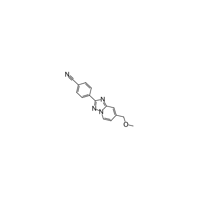 COCc1ccn2nc(-c3ccc(C#N)cc3)nc2c1